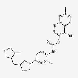 Cc1ccc2c(O)c(OC(=O)Nc3ccc(N4CCC(CN5CCCC5C)C4)cc3C)cnc2n1